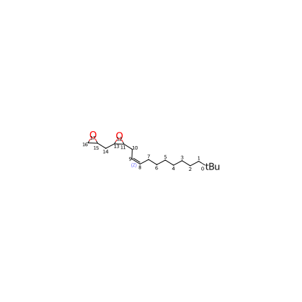 CC(C)(C)CCCCCCC/C=C\CC1OC1CC1CO1